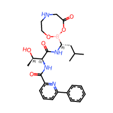 CC(C)C[C@H](NC(=O)[C@@H](NC(=O)c1cccc(-c2ccccc2)n1)[C@@H](C)O)B1OCCNCC(=O)O1